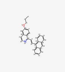 CCCOc1ccc2c(C=Cc3c4ccccc4cc4ccccc34)nccc2c1